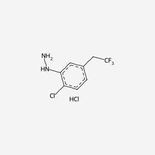 Cl.NNc1cc(CC(F)(F)F)ccc1Cl